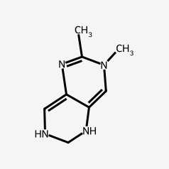 CC1=NC2=CNCNC2=CN1C